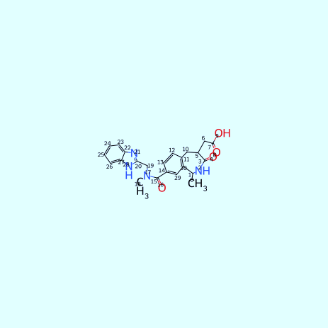 CC1NC(=O)C(CC(=O)O)Cc2ccc(C(=O)N(C)Cc3nc4ccccc4[nH]3)cc21